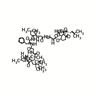 CCC(C)(CC(C)(CC(C)(C)C(=O)NCC(=O)N[C@@H](Cc1ccccc1)C(=O)N[C@@H](CC(C)C)C(=O)NCC(=O)NCCNC(=O)OC1CC[C@]2(CO2)C(C2(C)O[C@@H]2CC=C(C)C)C1OC)C(=O)NCC(C)O)C(C)C